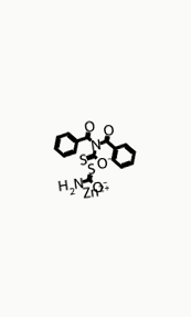 NC([O-])=S.O=C(c1ccccc1)N(C(=O)c1ccccc1)C([O-])=S.[Zn+2]